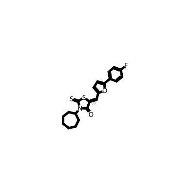 O=C1/C(=C/c2ccc(-c3ccc(F)cc3)o2)SC(=S)N1C1CCCCCC1